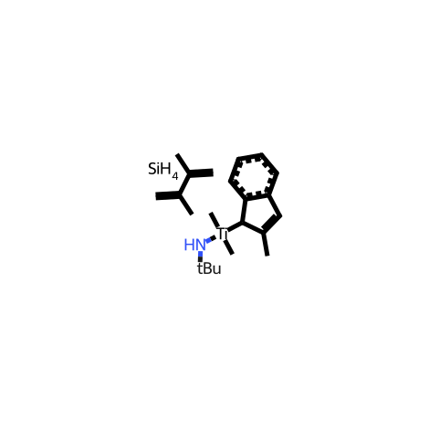 C=C(C)C(=C)C.CC1=Cc2ccccc2[CH]1[Ti]([CH3])([CH3])[NH]C(C)(C)C.[SiH4]